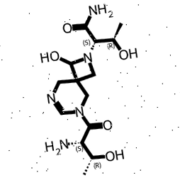 C[C@@H](O)[C@H](N)C(=O)N1C=NCC2(C1)CN([C@H](C(N)=O)[C@@H](C)O)C2O